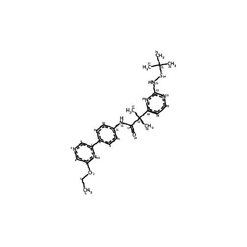 CCOc1cncc(-c2ccc(NC(=O)C(C)(C)c3ccnc(NSC(C)(C)C)n3)cc2)n1